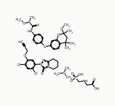 C#CCOc1cc(-n2nc3n(c2=O)CCCC3)c(Cl)cc1Cl.CON(C)C(=O)Nc1ccc(Oc2ccc3c(c2)OC(C)(OC)CC3(C)C)cc1.C[S+](C)C.O=C(O)CNCP(=O)([O-])O